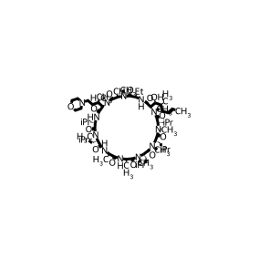 C/C=C/C[C@@H](C)[C@@H](O)[C@H]1C(=O)N[C@@H](CC)C(=O)N(C)[C@H](C)C(=O)N(C)[C@@H]([C@H](C)CCN2CCOCC2)C(=O)N[C@@H](C(C)C)C(=O)N(C)[C@@H](CC(C)C)C(=O)N[C@@H](C)C(=O)N[C@H](C)C(=O)N(C)[C@@H](CC(C)C)C(=O)N(C)[C@@H](CC(C)C)C(=O)N(C)[C@@H](C(C)C)C(=O)N1C